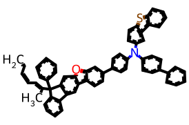 C=C/C=C\C=C(/C)C1(c2ccccc2)c2ccccc2-c2cc3c(cc21)oc1cc(-c2ccc(N(c4ccc(-c5ccccc5)cc4)c4ccc5sc6ccccc6c5c4)cc2)ccc13